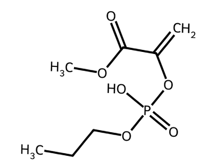 C=C(OP(=O)(O)OCCC)C(=O)OC